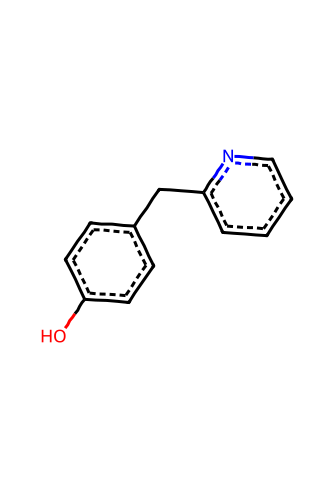 Oc1ccc(Cc2ccccn2)cc1